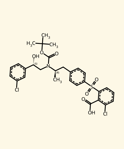 C[C@H](Cc1ccc(S(=O)(=O)c2cccc(Cl)c2C(=O)O)cc1)N(C[C@@H](O)c1cccc(Cl)c1)C(=O)OC(C)(C)C